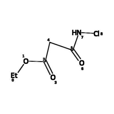 CCOC(=O)CC(=O)NCl